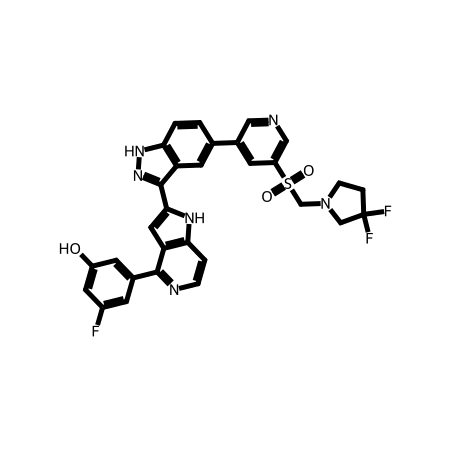 O=S(=O)(CN1CCC(F)(F)C1)c1cncc(-c2ccc3[nH]nc(-c4cc5c(-c6cc(O)cc(F)c6)nccc5[nH]4)c3c2)c1